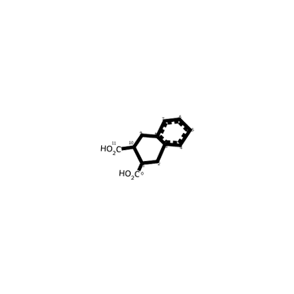 O=C(O)C1Cc2ccccc2CC1C(=O)O